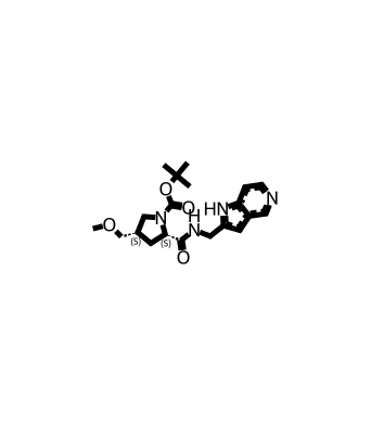 COC[C@H]1C[C@@H](C(=O)NCc2cc3cnccc3[nH]2)N(C(=O)OC(C)(C)C)C1